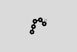 Clc1ccccc1-c1cccc(-c2cccc(-c3ccc(-c4ccccc4)cc3)c2)c1